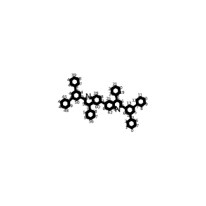 c1ccc(-c2cc(-c3ccccc3)cc(-c3cc(-c4ccccc4)c4cc(-c5ccc6nc(-c7cc(-c8ccccc8)cc(-c8ccccc8)c7)cc(-c7ccccc7)c6c5)ccc4n3)c2)cc1